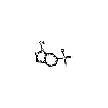 Cn1ncc2ccc(S(=O)(=O)Cl)cc21